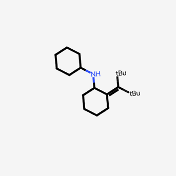 CC(C)(C)C(=C1CCCCC1NC1CCCCC1)C(C)(C)C